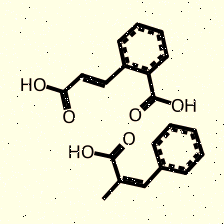 CC(=Cc1ccccc1)C(=O)O.O=C(O)C=Cc1ccccc1C(=O)O